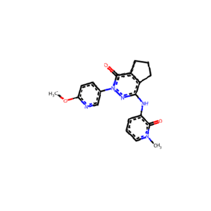 COc1ccc(-n2nc(Nc3cccn(C)c3=O)c3c(c2=O)CCC3)cn1